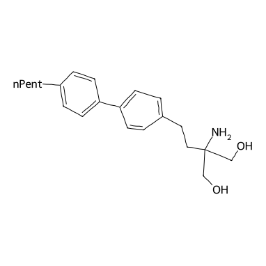 CCCCCc1ccc(-c2ccc(CCC(N)(CO)CO)cc2)cc1